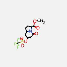 COC(=O)[C@@H]1CCC2CC(OS(=O)(=O)C(F)(F)F)=CC(=O)N21